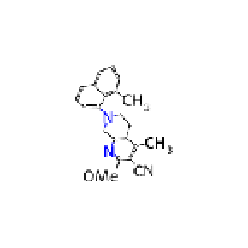 COc1nc2c(c(C)c1C#N)CCN(c1cccc3cccc(C)c13)C2